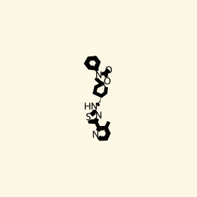 Cc1cccnc1-c1csc(NC[C@H]2CC[C@]3(CC2)CN(c2ccccc2)C(=O)O3)n1